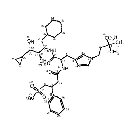 CC(C)(CCn1cnc(CC(NC(=O)CC(CS(=O)(=O)C(C)(C)C)c2ccccc2)C(=O)N[C@@H](CC2CCCCC2)[C@@H](O)[C@@H](O)C2CC2)c1)C(=O)O